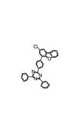 Clc1cc(-c2ccc(-c3nc(-c4ccccc4)nc(-c4ccccc4)n3)cc2)c2oc3ccccc3c2c1